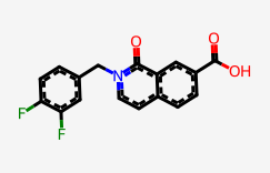 O=C(O)c1ccc2ccn(Cc3ccc(F)c(F)c3)c(=O)c2c1